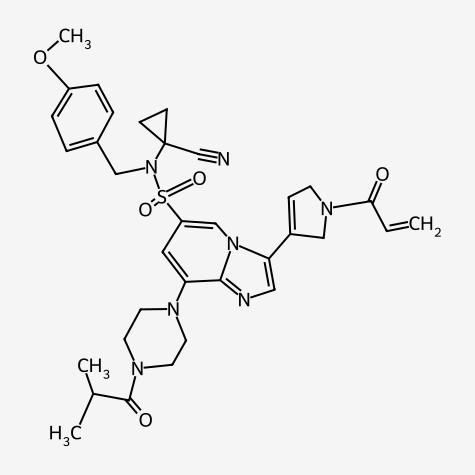 C=CC(=O)N1CC=C(c2cnc3c(N4CCN(C(=O)C(C)C)CC4)cc(S(=O)(=O)N(Cc4ccc(OC)cc4)C4(C#N)CC4)cn23)C1